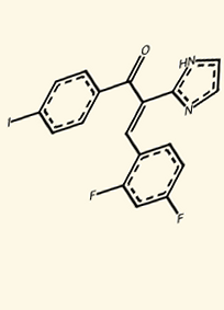 O=C(/C(=C/c1ccc(F)cc1F)c1ncc[nH]1)c1ccc(Cl)cc1